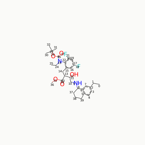 CCc1ccc2c(c1)C(NCC(O)C(Cc1cc(F)cc(F)c1N(CC)C(=O)OC(C)(C)C)C(=O)OC)CCC2